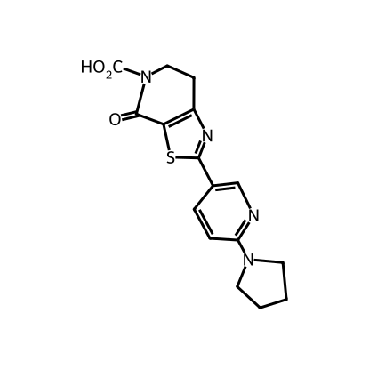 O=C(O)N1CCc2nc(-c3ccc(N4CCCC4)nc3)sc2C1=O